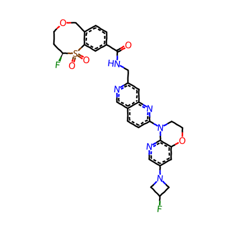 O=C(NCc1cc2nc(N3CCOc4cc(N5CC(F)C5)cnc43)ccc2cn1)c1ccc2c(c1)S(=O)(=O)[C@@H](F)CCOC2